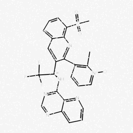 Cc1c(-c2nc3c(S(C)(=O)=O)cccc3cc2[C@@H](Nc2ncnc3cccnc23)C(F)(F)F)ccc[n+]1[O-]